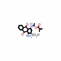 C=C(C)C(=O)OC(C)Nc1cc(S(=O)(=O)O)c(N)c2c1C(=O)c1ccccc1C2=O